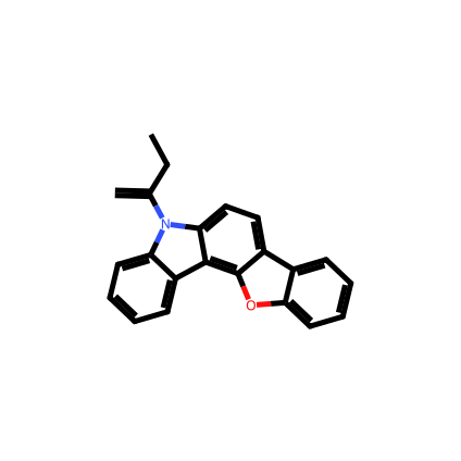 C=C(CC)n1c2ccccc2c2c3oc4ccccc4c3ccc21